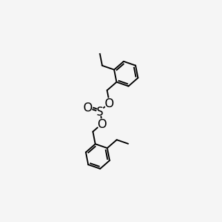 CCc1ccccc1COS(=O)OCc1ccccc1CC